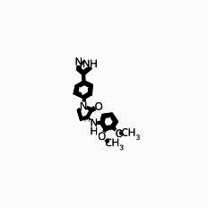 COc1cccc(N[C@@H]2CCN(c3ccc(-c4cn[nH]c4)cc3)C2=O)c1OC